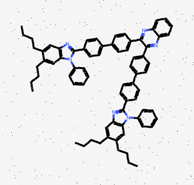 CCCCc1cc2nc(-c3ccc(-c4ccc(-c5nc6ccccc6nc5-c5ccc(-c6ccc(-c7nc8cc(CCCC)c(CCCC)cc8n7-c7ccccc7)cc6)cc5)cc4)cc3)n(-c3ccccc3)c2cc1CCCC